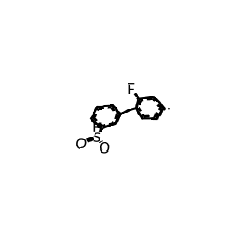 O=[SH](=O)c1cccc(-c2cc[c]cc2F)c1